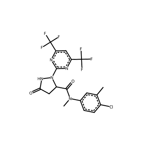 Cc1cc(N(C)C(=O)C2CC(=O)NN2c2nc(C(F)(F)F)cc(C(F)(F)F)n2)ccc1Cl